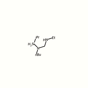 CCCCN(CNCC)[SiH2]C(C)C